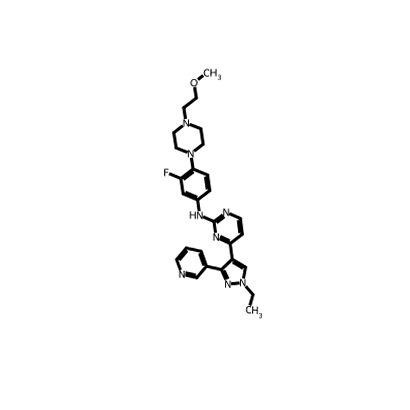 CCn1cc(-c2ccnc(Nc3ccc(N4CCN(CCOC)CC4)c(F)c3)n2)c(-c2cccnc2)n1